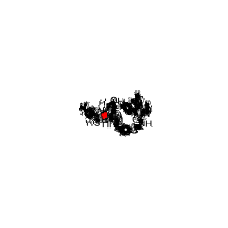 Cc1ncsc1-c1ccc([C@@H](CO)NC(=O)[C@@H]2C[C@@H](O)CN2C(=O)[C@@H](NC(=O)CC2CCC(O[C@H]3C[C@H](NC(=O)C[C@@H]4N=C(c5ccc(Cl)cc5)c5c(sc(C)c5C)-n5c(C)nnc54)C3)CC2)C(C)(C)C)cc1